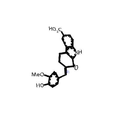 COc1cc(/C=C2\CCc3c([nH]c4ccc(C(=O)O)cc34)C2=O)ccc1O